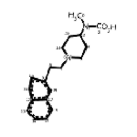 CN(C(=O)O)C1CCN(CCc2ccc3ccccc3c2)CC1